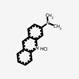 CN(C)c1ccc2cc3ccccc3nc2c1.Cl